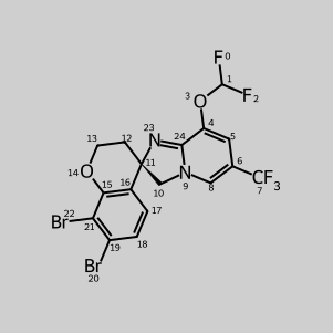 FC(F)OC1=CC(C(F)(F)F)=CN2C[C@@]3(CCOc4c3ccc(Br)c4Br)N=C12